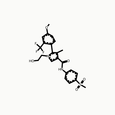 COc1ccc(-c2c(C)c(C(=O)Nc3ccc(S(C)(=O)=O)cc3)cn2CCO)c(C(F)(F)F)c1